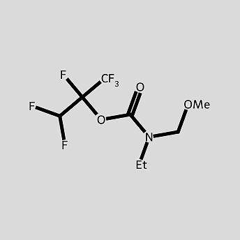 CCN(COC)C(=O)OC(F)(C(F)F)C(F)(F)F